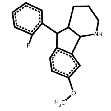 COc1ccc2c(c1)C1NCCCC1C2c1ccccc1F